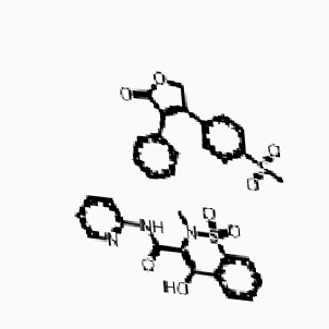 CN1C(C(=O)Nc2ccccn2)=C(O)c2ccccc2S1(=O)=O.CS(=O)(=O)c1ccc(C2=C(c3ccccc3)C(=O)OC2)cc1